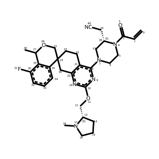 C=CC(=O)N1CCN(c2nc(OC[C@@H]3CCCN3C)nc3c2CCC2(COC(C)c4c(F)cccc42)C3)C[C@@H]1CC#N